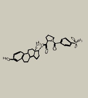 C[C@]12CCC3c4ccc(O)cc4CCC3C1CC[C@@H]2OC(=O)C1CCCN1C(=O)c1ccc(S(N)(=O)=O)cc1